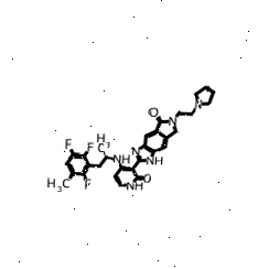 Cc1cc(F)c(F)c(C[C@H](C)Nc2cc[nH]c(=O)c2-c2nc3cc4c(cc3[nH]2)CN(CCN2CCCC2)C4=O)c1F